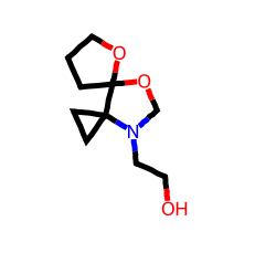 OCCN1COC2(CCCO2)C12CC2